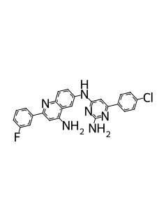 Nc1nc(Nc2ccc3nc(-c4cccc(F)c4)cc(N)c3c2)cc(-c2ccc(Cl)cc2)n1